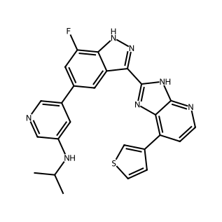 CC(C)Nc1cncc(-c2cc(F)c3[nH]nc(-c4nc5c(-c6ccsc6)ccnc5[nH]4)c3c2)c1